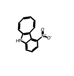 O=[N+]([O-])c1cccc2[nH]c3c(c12)C=CC=CC=C3